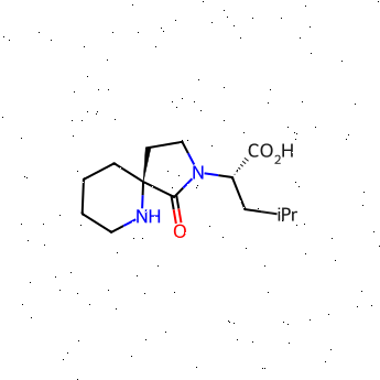 CC(C)C[C@@H](C(=O)O)N1CC[C@@]2(CCCCN2)C1=O